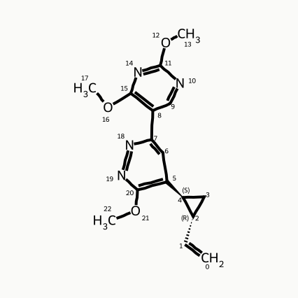 C=C[C@H]1C[C@@H]1c1cc(-c2cnc(OC)nc2OC)nnc1OC